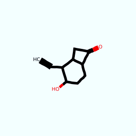 C#CC1C(O)CCC2C(=O)CC21